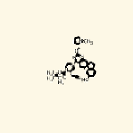 CN1CCC[C@H]1COc1nc2c(c(N3CCN(C(=O)OC(C)(C)C)[C@@H](CC#N)C3)n1)CCC1(CCc3ccc(O)cc31)C2